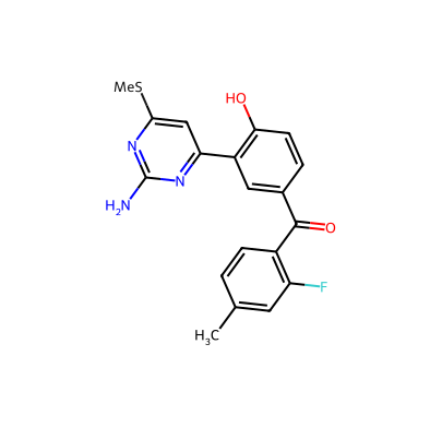 CSc1cc(-c2cc(C(=O)c3ccc(C)cc3F)ccc2O)nc(N)n1